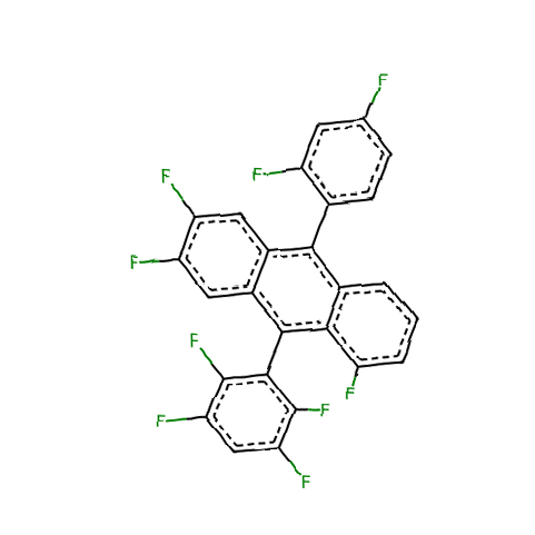 Fc1ccc(-c2c3cc(F)c(F)cc3c(-c3c(F)c(F)cc(F)c3F)c3c(F)cccc23)c(F)c1